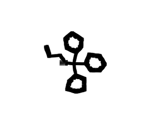 C=CCNC(c1ccccc1)(c1ccccc1)c1ccccc1